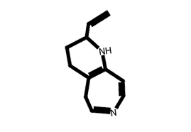 C=CC1CCC2=C(C=CN=CC2)N1